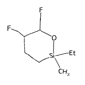 CC[Si]1(C)CCC(F)C(F)O1